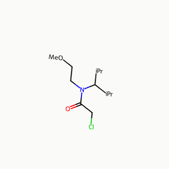 COCCN(C(=O)CCl)C(C(C)C)C(C)C